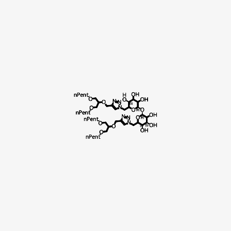 CCCCCOCC(COCCCCC)OCc1cn(CC2O[C@H](O[C@H]3OC(Cn4cc(COC(COCCCCC)COCCCCC)nn4)[C@@H](O)[C@H](O)C3O)C(O)C(O)[C@@H]2O)nn1